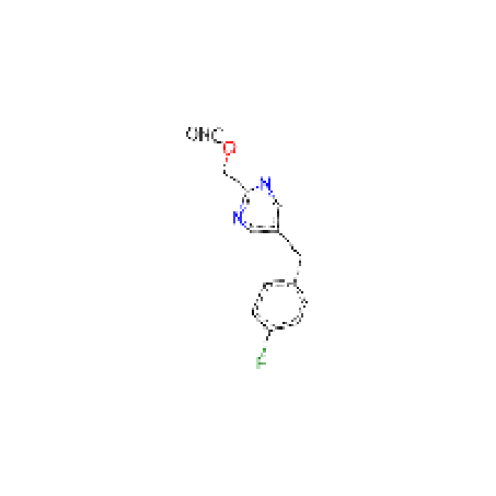 O=COCc1ncc(Cc2ccc(F)cc2)cn1